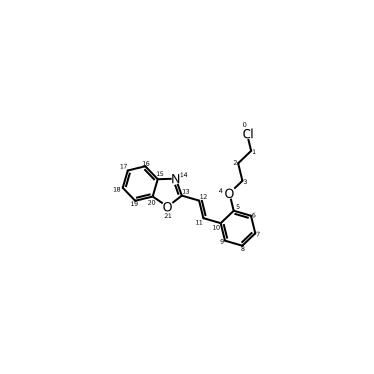 ClCCCOc1ccccc1C=Cc1nc2ccccc2o1